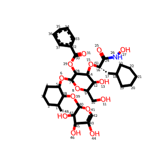 CC1CCCC(OC2OC(CO)C(O)C(O[C@@H](CC3CCCCC3)C(=O)NO)C2OC(=O)c2ccccc2)C1OC1OC=C(O)C(O)C1O